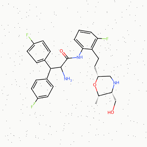 C[C@@H]1O[C@H](CCc2c(F)cccc2NC(=O)C(N)C(c2ccc(F)cc2)c2ccc(F)cc2)CN[C@@H]1CO